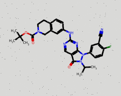 CC(C)n1c(=O)c2cnc(Nc3ccc4c(c3)CN(C(=O)OC(C)(C)C)CC4)nc2n1-c1ccc(F)c(C#N)c1